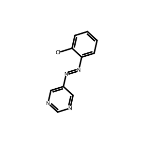 Clc1ccccc1N=Nc1cncnc1